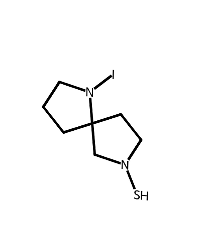 SN1CCC2(CCCN2I)C1